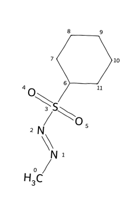 CN=NS(=O)(=O)C1CCCCC1